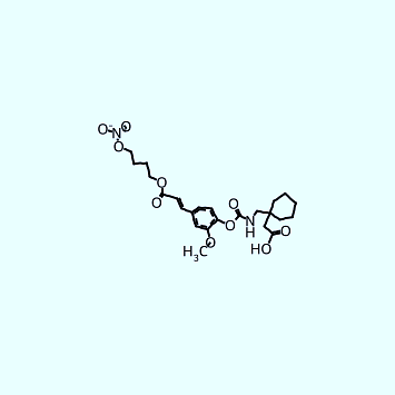 COc1cc(/C=C/C(=O)OCCCCO[N+](=O)[O-])ccc1OC(=O)NCC1(CC(=O)O)CCCCC1